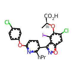 CCCc1nc(Oc2ccc(Cl)cc2)ccc1-c1noc2cc(Cl)c(O[C@@H](C)C(=O)O)c(I)c12